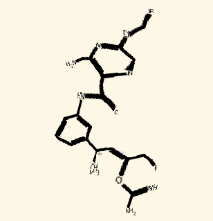 C[C@H](/C=C(/CF)OC(=N)N)c1cccc(NC(=O)c2ncc(OCF)nc2N)c1